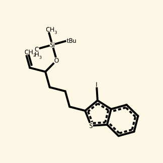 C=CC(CCCc1sc2ccccc2c1I)O[Si](C)(C)C(C)(C)C